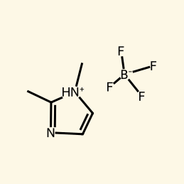 CC1=NC=C[NH+]1C.F[B-](F)(F)F